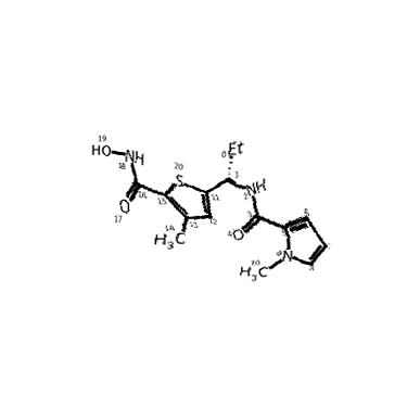 CC[C@H](NC(=O)c1cccn1C)c1cc(C)c(C(=O)NO)s1